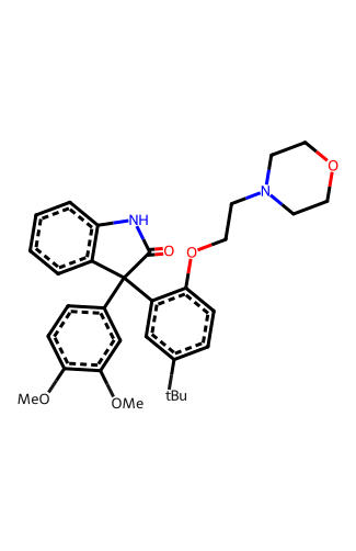 COc1ccc(C2(c3cc(C(C)(C)C)ccc3OCCN3CCOCC3)C(=O)Nc3ccccc32)cc1OC